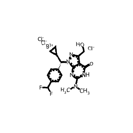 CN(C)c1nc2c(c(CO)nn2[C@H](c2ccc(C(F)F)cc2)C2CC2)c(=O)[nH]1.[B+3].[Cl-].[Cl-].[Cl-]